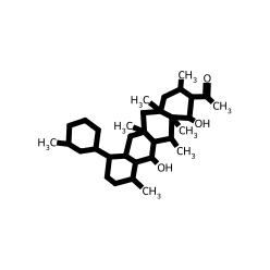 CC(=O)C1C(C)CC2(C)CC3(C)CC4C(C5CCCC(C)C5)CCC(C)C4C(O)C3C(C)C2(C)C1O